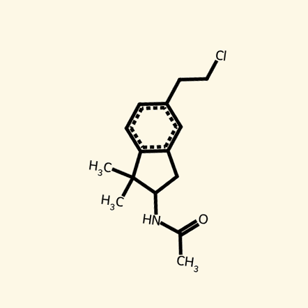 CC(=O)NC1Cc2cc(CCCl)ccc2C1(C)C